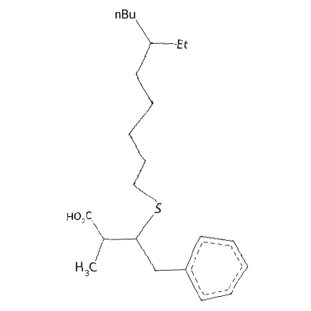 CCCCC(CC)CCCCCSC(Cc1ccccc1)C(C)C(=O)O